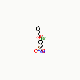 O=C(CCC1CCCC1)Oc1ccc(/C=C2\SC(=O)NC2=O)cc1Br